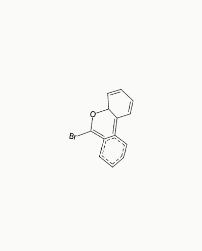 BrC1=c2ccccc2=C2C=CC=CC2O1